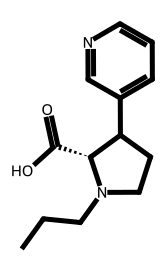 CCCN1CCC(c2cccnc2)[C@H]1C(=O)O